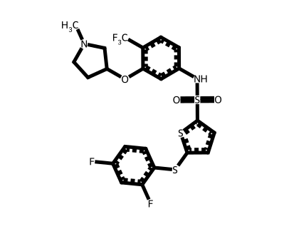 CN1CCC(Oc2cc(NS(=O)(=O)c3ccc(Sc4ccc(F)cc4F)s3)ccc2C(F)(F)F)C1